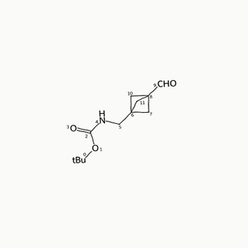 CC(C)(C)OC(=O)NCC12CC(C=O)(C1)C2